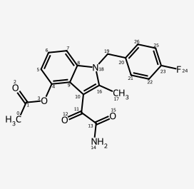 CC(=O)Oc1cccc2c1c(C(=O)C(N)=O)c(C)n2Cc1ccc(F)cc1